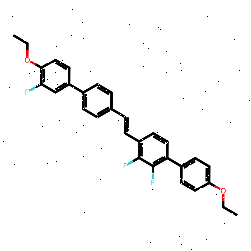 CCOc1ccc(-c2ccc(/C=C/c3ccc(-c4ccc(OCC)c(F)c4)cc3)c(F)c2F)cc1